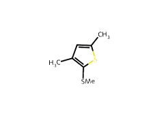 CSc1sc(C)cc1C